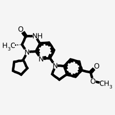 COC(=O)c1ccc2c(c1)CCN2c1ccc2c(n1)N(C1CCCC1)[C@H](C)C(=O)N2